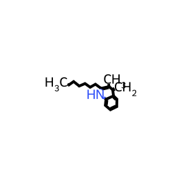 C=C1C(C)=C(CCCCCCC)Nc2ccccc21